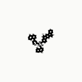 CC1(C)c2ccccc2-c2cc3c(cc21)-c1ccc(-c2nc(-c4cc(-c5cccc6ccccc56)ccn4)nc(-c4cccc5ccccc45)n2)cc1C3(C)C